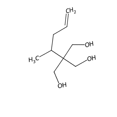 C=CCC(C)C(CO)(CO)CO